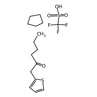 C1CCCC1.CCCCC(=O)Cc1cccs1.O=S(=O)(O)C(F)(F)F